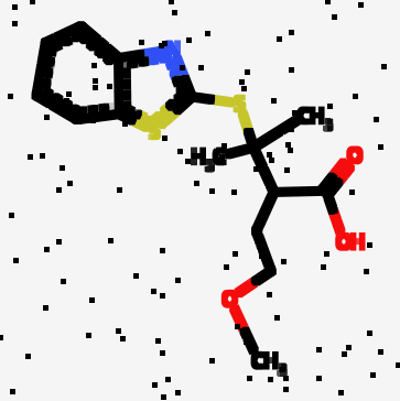 COCCC(C(=O)O)C(C)(C)Sc1nc2ccccc2s1